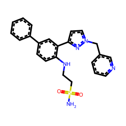 NS(=O)(=O)CCNc1ccc(-c2ccccc2)cc1-c1ccn(Cc2cccnc2)n1